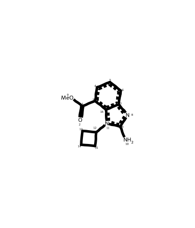 COC(=O)c1cccc2nc(N)n(C3CCC3)c12